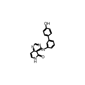 O=c1[nH]ccc2ncnc(Nc3cccc(-c4ccc(O)cc4)c3)c12